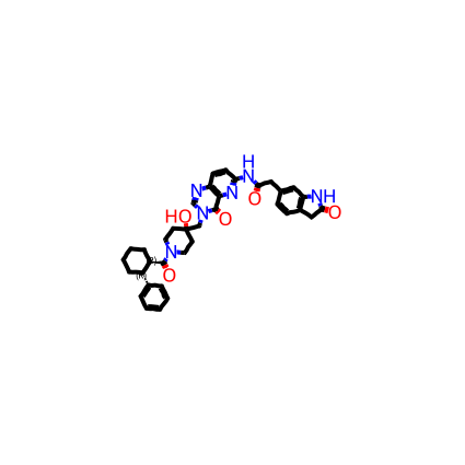 O=C(Cc1ccc2c(c1)NC(=O)C2)Nc1ccc2ncn(CC3(O)CCN(C(=O)[C@@H]4CCCC[C@H]4c4ccccc4)CC3)c(=O)c2n1